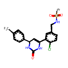 CC(C)S(=O)(=O)NCc1ccc(Cl)c(C2=CC(c3ccc(C(F)(F)F)cc3)NC(=O)N2)c1